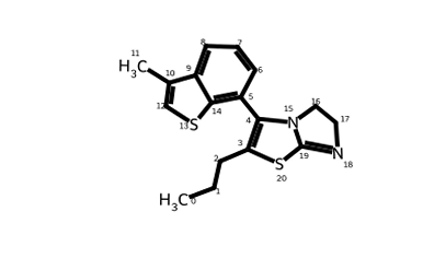 CCCC1=C(c2cccc3c(C)csc23)N2CCN=C2S1